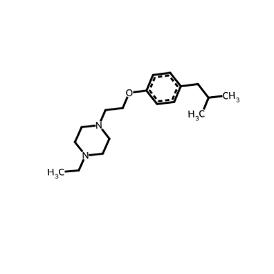 CCN1CCN(CCOc2ccc(C[C](C)C)cc2)CC1